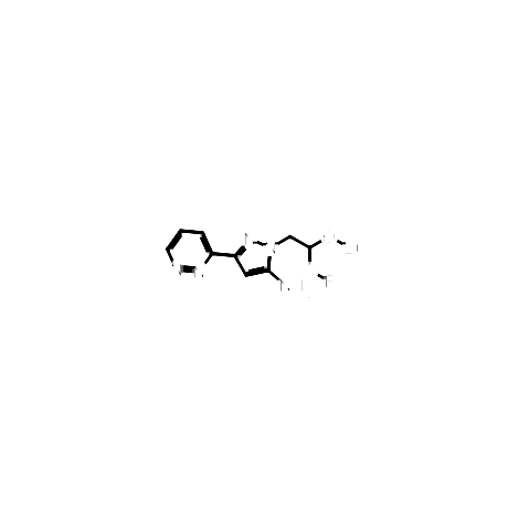 CCOC(Cn1nc(-c2cccnn2)cc1N)OCC